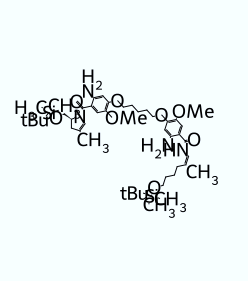 COc1cc(C(=O)N/C=C(/C)CCCCO[Si](C)(C)C(C)(C)C)c(N)cc1OCCCCCOc1cc(N)c(C(=O)N2C=C(C)C[C@H]2CO[Si](C)(C)C(C)(C)C)cc1OC